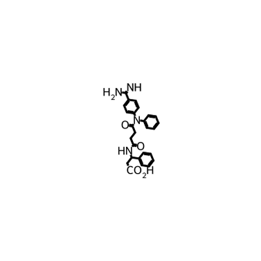 N=C(N)c1ccc(N(C(=O)CCC(=O)NC(CC(=O)O)c2ccccc2)c2ccccc2)cc1